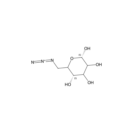 [N-]=[N+]=NCC1O[C@H](O)C(O)C(O)[C@@H]1O